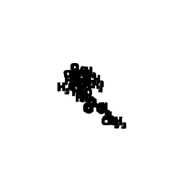 CCN(CC)Cc1ccc(-c2ccc(NC(=O)Nc3cc(C(C)(C)C)cc(Nc4c(NC)c(=O)c4=O)c3OC)c3ccccc23)cn1